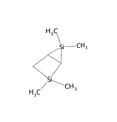 C[Si]1(C)CC2C1[Si]2(C)C